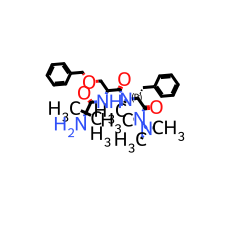 CN(C(=O)C(COCc1ccccc1)NC(=O)C(C)(C)N)[C@H](Cc1ccccc1)C(=O)N(C)N(C)C